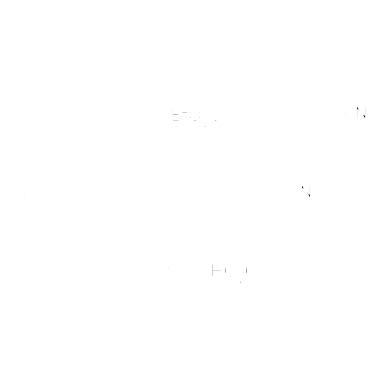 CCOC(=O)c1c(CC#N)nc(C)c(C(=O)O)c1-c1ccc(Cl)cc1Cl